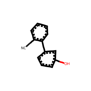 N#Cc1[c]cccc1-c1cccc(O)c1